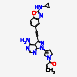 C=CC(=O)N1CC[C@H](n2nc(C#Cc3ccc4oc(NC5CC5)nc4c3)c3c(N)ncnc32)C1